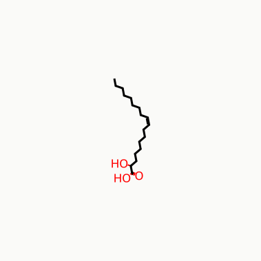 CCCCCCCC/C=C\CCCCCC[C@H](O)C(=O)O